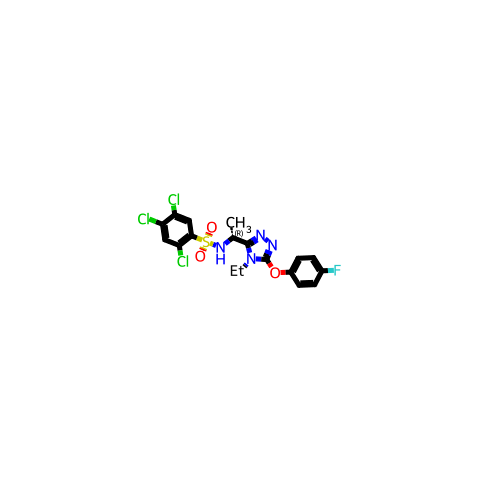 CCn1c(Oc2ccc(F)cc2)nnc1[C@@H](C)NS(=O)(=O)c1cc(Cl)c(Cl)cc1Cl